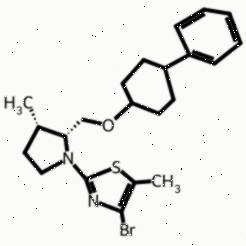 Cc1sc(N2CC[C@H](C)[C@@H]2COC2CCC(c3ccccc3)CC2)nc1Br